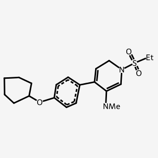 CCS(=O)(=O)N1C=C(NC)C(c2ccc(OC3CCCCC3)cc2)=CC1